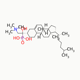 CC(C)CCC[C@@H](C)[C@H]1CC[C@H]2[C@@H]3CC=C4C[C@@H](C(O)(C[N+](C)(C)C)P(=O)(O)O)CC[C@]4(C)[C@H]3CC[C@]12C